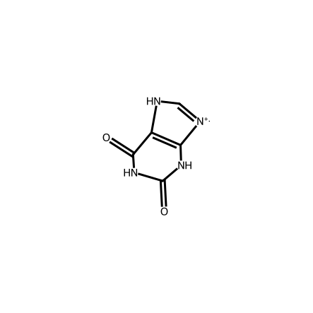 O=c1[nH]c2c(c(=O)[nH]1)NC=[N+]2